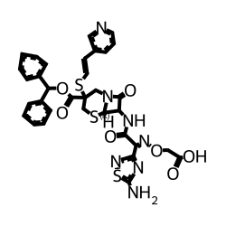 Nc1nc(C(=NOCC(=O)O)C(=O)NC2C(=O)N3CC(SC=Cc4cccnc4)(C(=O)OC(c4ccccc4)c4ccccc4)CS[C@H]23)ns1